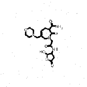 NC(=O)C1CC=C(CN2CCOCC2)CN(CC(=O)NC2CC(=O)OC2O)C1=O